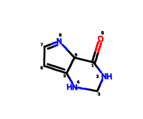 O=C1NCNC2=CC=NC12